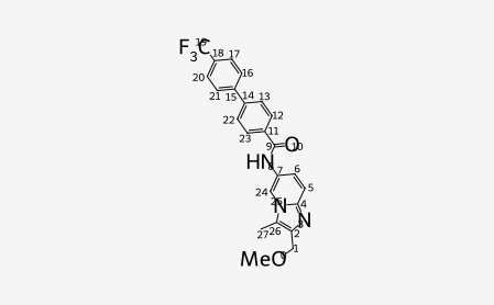 COCc1nc2ccc(NC(=O)c3ccc(-c4ccc(C(F)(F)F)cc4)cc3)cn2c1C